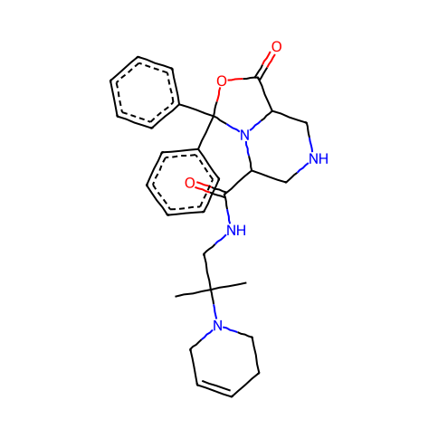 CC(C)(CNC(=O)C1CNCC2C(=O)OC(c3ccccc3)(c3ccccc3)N12)N1CC=CCC1